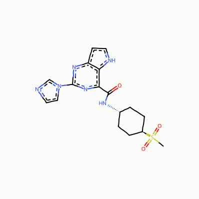 CS(=O)(=O)[C@H]1CC[C@H](NC(=O)c2nc(-n3ccnc3)nc3cc[nH]c23)CC1